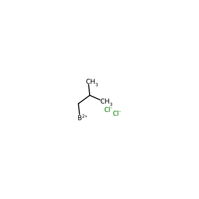 [B+2]CC(C)C.[Cl-].[Cl-]